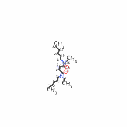 CCCCCCN(CC)C(=O)/C=C\C(=O)N(CC)CCCCCC